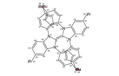 CCC(C)c1ccc(N2/C(=C3/N(c4ccc(C(C)CC)cc4)c4ccc(C(C)C)cc4N3c3ccc(C(C)CC)cc3)N(c3ccc(C(C)CC)cc3)c3cc(C(C)C)ccc32)cc1